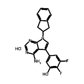 Cl.Nc1ncnc2c1c(-c1cc(O)c(F)c(F)c1)cn2C1Cc2ccccc2C1